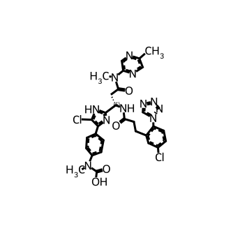 Cc1cnc(N(C)C(=O)C[C@H](NC(=O)CCc2cc(Cl)ccc2-n2cnnn2)c2nc(-c3ccc(N(C)C(=O)O)cc3)c(Cl)[nH]2)cn1